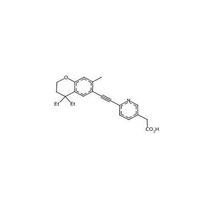 CCC1(CC)CCOc2cc(C)c(C#Cc3ccc(CC(=O)O)cn3)cc21